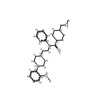 COCC1CCC(C(=O)N(CCN2CCN(c3ccccc3OC)CC2)c2ccccn2)CC1